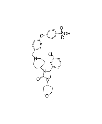 O=C1N(C2CCOCC2)CC(c2cccc(Cl)c2)N1C1CCN(Cc2ccc(Oc3ccc(S(=O)(=O)O)cc3)cc2)CC1